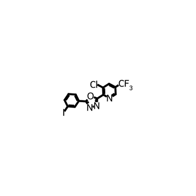 FC(F)(F)c1cnc(-c2nnc(-c3cccc(I)c3)o2)c(Cl)c1